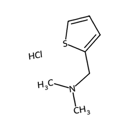 CN(C)Cc1cccs1.Cl